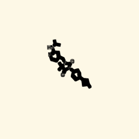 CC(C)Nc1cc(CN2C(=O)N(c3ccc(C45CC(C)(C4)C5)cc3)C(=O)C2(C)C)ccn1